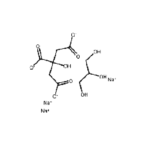 O=C([O-])CC(O)(CC(=O)[O-])C(=O)[O-].OCC(O)CO.[Na+].[Na+].[Na+]